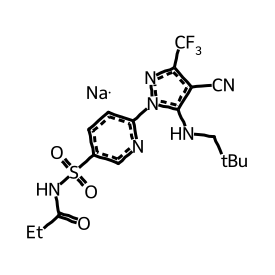 CCC(=O)NS(=O)(=O)c1ccc(-n2nc(C(F)(F)F)c(C#N)c2NCC(C)(C)C)nc1.[Na]